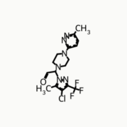 Cc1ccc(N2CCN(C(C=O)n3nc(C(F)(F)F)c(Cl)c3C)CC2)nn1